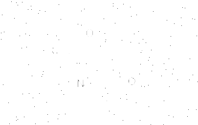 CN1COCCOC1